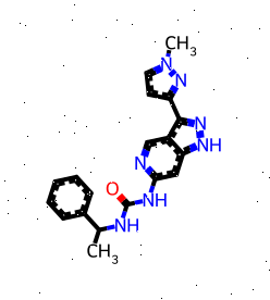 CC(NC(=O)Nc1cc2[nH]nc(-c3ccn(C)n3)c2cn1)c1ccccc1